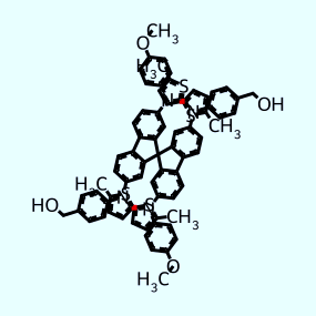 COc1ccc(N(c2ccc3c(c2)C2(c4cc(N(c5ccc(CO)cc5)c5ccc(C)s5)ccc4-3)c3cc(N(c4ccc(CO)cc4)c4ccc(C)s4)ccc3-c3ccc(N(c4ccc(OC)cc4)c4ccc(C)s4)cc32)c2ccc(C)s2)cc1